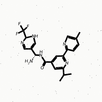 Cc1ccc(-c2cc(C(=O)N[C@H](N)C3=CNC(C(F)(F)F)N=C3)cc(C(C)C)n2)nc1